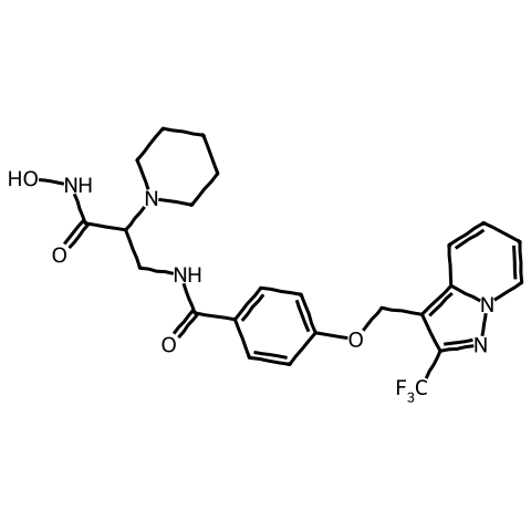 O=C(NCC(C(=O)NO)N1CCCCC1)c1ccc(OCc2c(C(F)(F)F)nn3ccccc23)cc1